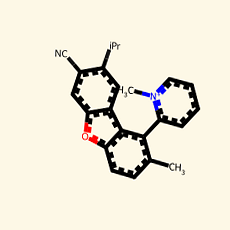 Cc1ccc2oc3cc(C#N)c(C(C)C)cc3c2c1-c1cccc[n+]1C